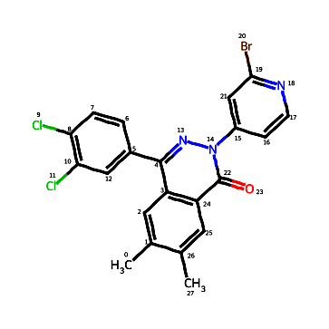 Cc1cc2c(-c3ccc(Cl)c(Cl)c3)nn(-c3ccnc(Br)c3)c(=O)c2cc1C